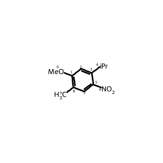 COc1cc(C(C)C)c([N+](=O)[O-])cc1C